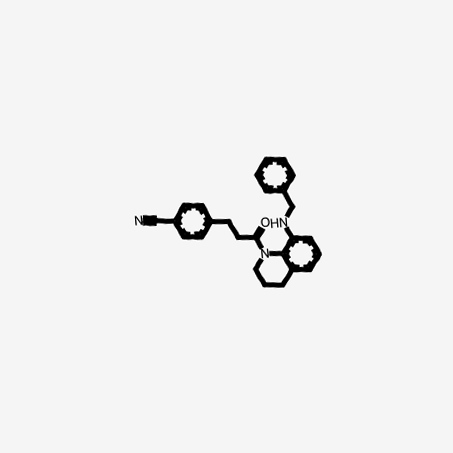 N#Cc1ccc(CCC(=O)N2CCCc3cccc(NCc4ccccc4)c32)cc1